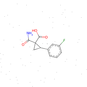 NC(=O)C1(C(=O)O)CC1c1cccc(F)c1